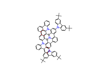 CC(C)(C)c1ccc2c(c1)c1cc(C(C)(C)C)ccc1n2-c1cc2c3c(c1)N(c1ccccc1-c1ccccc1)c1ccccc1B3N1B3c4ccccc4N(c4ccccc4-c4ccccc4)c4cc(-n5c6ccc(C(C)(C)C)cc6c6cc(C(C)(C)C)ccc65)cc(c43)-c3cccc-2c31